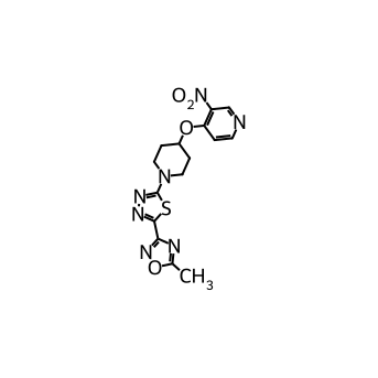 Cc1nc(-c2nnc(N3CCC(Oc4ccncc4[N+](=O)[O-])CC3)s2)no1